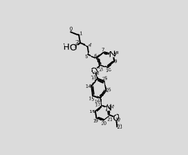 CCC(O)CCc1cnccc1Oc1ccc(-c2cccc(OC)n2)cc1